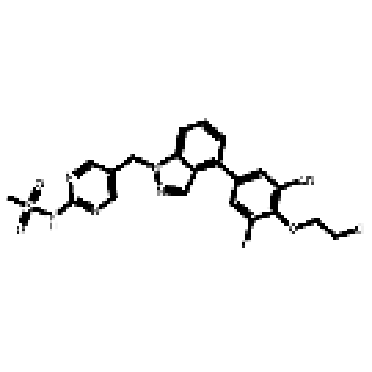 CS(=O)(=O)Nc1ncc(Cn2ncc3c(-c4cc(Cl)c(OCCCl)c(C#N)c4)cccc32)cn1